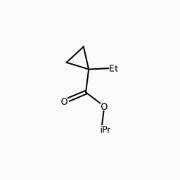 CCC1(C(=O)OC(C)C)CC1